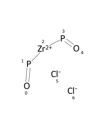 O=[P][Zr+2][P]=O.[Cl-].[Cl-]